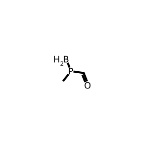 BP(C)C=O